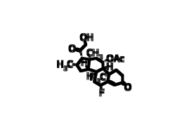 CC(=O)O[C@H]1C[C@@]2(C)[C@@H](C[C@@H](C)[C@@H]2C(=O)CO)[C@@H]2C[C@H](F)C3=CC(=O)CC[C@]3(C)[C@H]21